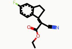 CCOC(=O)C(C#N)=C1CCc2cc(F)ccc21